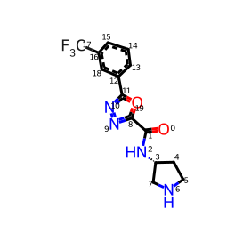 O=C(N[C@@H]1CCNC1)c1nnc(-c2cccc(C(F)(F)F)c2)o1